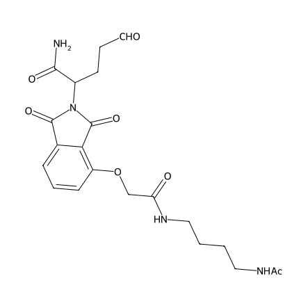 CC(=O)NCCCCNC(=O)COc1cccc2c1C(=O)N(C(CCC=O)C(N)=O)C2=O